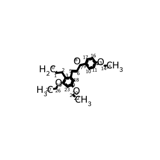 C=CCc1c(C=CC(=O)c2ccc(OCC)cc2)cc(OCC)cc1OCC